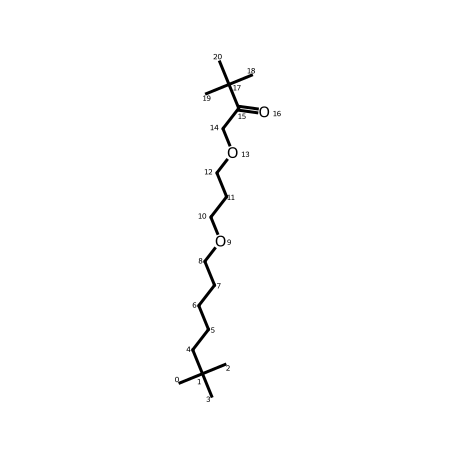 CC(C)(C)CCCCCOCCCOCC(=O)C(C)(C)C